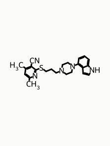 Cc1cc(C)c(C#N)c(SCCCN2CCN(c3cccc4[nH]ccc34)CC2)n1